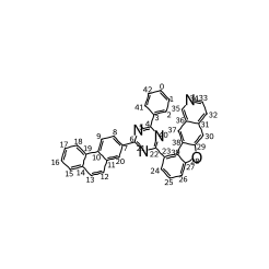 c1ccc(-c2nc(-c3ccc4c(ccc5ccccc54)c3)nc(-c3cccc4oc5cc6ccncc6cc5c34)n2)cc1